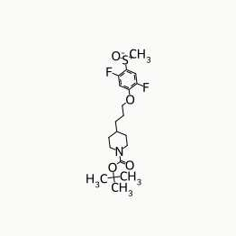 C[S+]([O-])c1cc(F)c(OCCCC2CCN(C(=O)OC(C)(C)C)CC2)cc1F